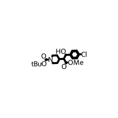 COC(=O)C(C1CCN(C(=O)OC(C)(C)C)CC1)C(O)c1ccc(Cl)cc1